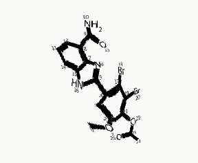 COc1cc(-c2nc3c(C(N)=O)cccc3[nH]2)c(Br)c(Br)c1OC(C)=O